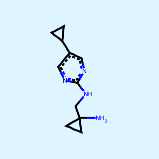 NC1(CNc2ncc(C3CC3)cn2)CC1